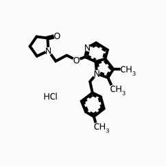 Cc1ccc(Cn2c(C)c(C)c3ccnc(OCCN4CCCC4=O)c32)cc1.Cl